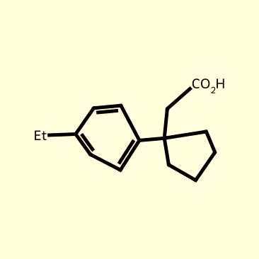 CCc1ccc(C2(CC(=O)O)CCCC2)cc1